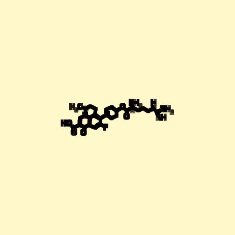 C[C@H]1CCc2c(N3CCC(OC(=O)[C@H](N)CCCNC(=N)N)CC3)c(F)cc3c(=O)c(C(=O)O)cn1c23